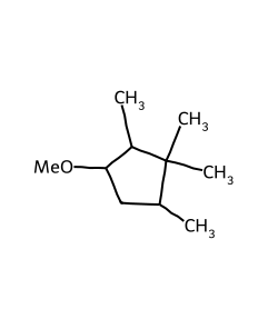 COC1CC(C)C(C)(C)C1C